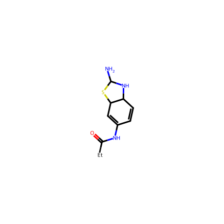 CCC(=O)NC1=CC2SC(N)NC2C=C1